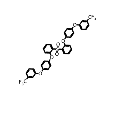 O=S(=O)(c1ccccc1Oc1ccc(Oc2cccc(C(F)(F)F)c2)cc1)c1ccccc1Oc1ccc(Oc2cccc(C(F)(F)F)c2)cc1